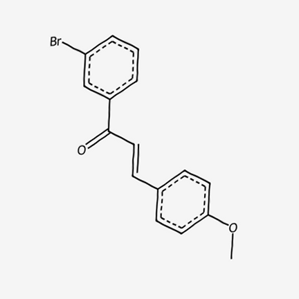 COc1ccc(C=CC(=O)c2cccc(Br)c2)cc1